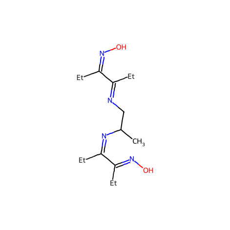 CCC(=NO)C(CC)=NCC(C)N=C(CC)C(CC)=NO